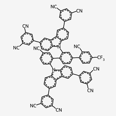 N#Cc1cc(C#N)cc(-c2ccc3c(c2)c2cc(-c4cc(C#N)cc(C#N)c4)ccc2n3-c2ccc(C#N)cc2-c2ccc(-c3ccc(C(F)(F)F)cc3C#N)cc2-n2c3ccc(-c4cc(C#N)cc(C#N)c4)cc3c3cc(-c4cc(C#N)cc(C#N)c4)ccc32)c1